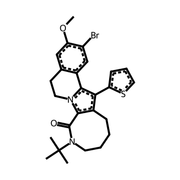 COc1cc2c(cc1Br)-c1c(-c3cccs3)c3c(n1CC2)C(=O)N(C(C)(C)C)CCCC3